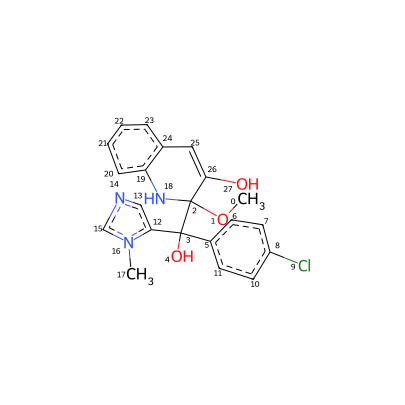 COC1(C(O)(c2ccc(Cl)cc2)c2cncn2C)Nc2ccccc2C=C1O